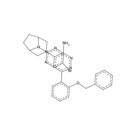 Nc1nnc(-c2ccccc2OCc2ccccc2)cc1N1CC2CCC(C1)N2c1ncc(Br)cn1